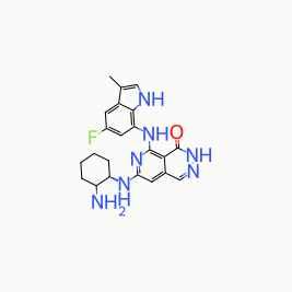 Cc1c[nH]c2c(Nc3nc(N[C@@H]4CCCCC4N)cc4cn[nH]c(=O)c34)cc(F)cc12